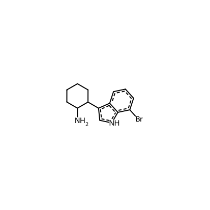 NC1CCCCC1c1c[nH]c2c(Br)cccc12